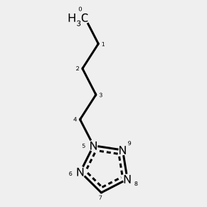 CCCCCn1ncnn1